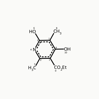 CCOC(=O)c1c(C)nc(O)c(C)c1O